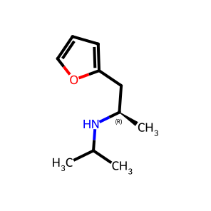 CC(C)N[C@H](C)Cc1ccco1